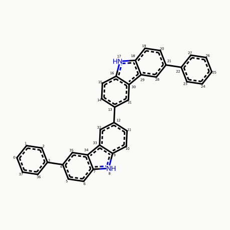 c1ccc(-c2ccc3[nH]c4ccc(-c5ccc6[nH]c7ccc(-c8ccccc8)cc7c6c5)cc4c3c2)cc1